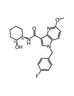 COc1ccc2c(n1)c(C(=O)N[C@@H]1CCCC[C@@H]1O)cn2Cc1ccc(F)cc1